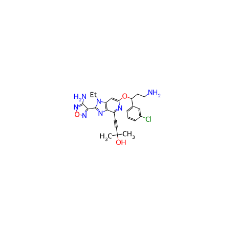 CCn1c(-c2nonc2N)nc2c(C#CC(C)(C)O)nc(OC(CCN)c3cccc(Cl)c3)cc21